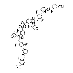 CC1(C)COCC1n1c(Cc2cc(F)c(-c3cccc(OCc4ccc(C#N)cc4F)n3)cc2F)nc2ccc(C(=O)OC(=O)c3ccc4nc(Cc5cc(F)c(-c6cccc(OCc7ccc(C#N)cc7F)n6)cc5F)n(C5COCC5(C)C)c4c3F)c(F)c21